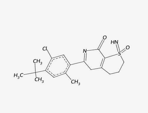 Cc1cc(C(C)(C)C)c(Cl)cc1C1=NC(=O)C2=C(CCCS2(=N)=O)C1